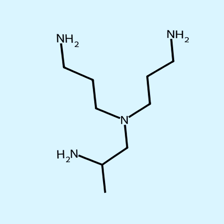 CC(N)CN(CCCN)CCCN